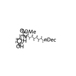 CCCCCCCCCCCCCCCCCCNC(Cc1ccc(O)cc1)C(=O)OC